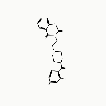 O=C(c1ccc(F)cc1Br)C1CCN(CCn2c(=O)[nH]c3ccccc3c2=O)CC1